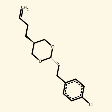 C=CCC[C@H]1CO[C@H](CCc2ccc(Cl)cc2)OC1